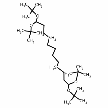 CC(C)(C)OC(CC[SiH2]CCCC[SiH2]CCC(OC(C)(C)C)OC(C)(C)C)OC(C)(C)C